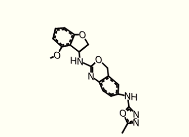 COc1cccc2c1C(NC1=Nc3ccc(Nc4nnc(C)o4)cc3CO1)CO2